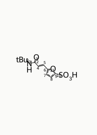 CC(C)(C)NC(=O)/C=C/c1ccc(S(=O)(=O)O)o1